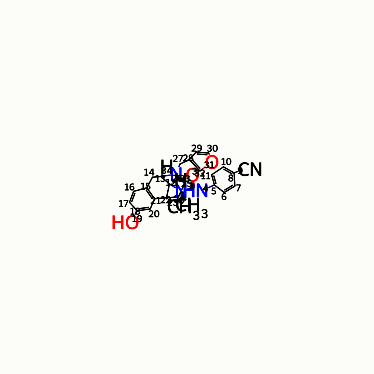 CN(C(=O)Nc1ccc(C#N)cc1)[C@@H]1[C@H]2Cc3ccc(O)cc3[C@@]1(C)CCN2Cc1ccoc1